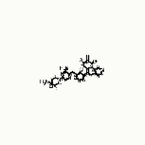 CC1(N)CCN(c2cnc(Sc3cccc(NCc4ccncc4N4CCC(=O)NC4=O)c3Cl)c(N)n2)CC1